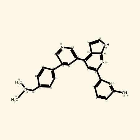 Cc1cccc(-c2cc(-c3cncc(-c4ccc(CN(C)C)cc4)c3)c3cc[nH]c3n2)n1